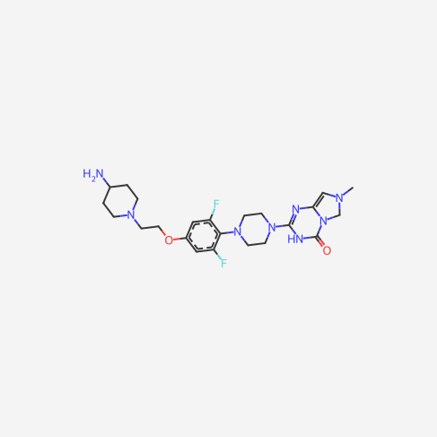 CN1C=C2N=C(N3CCN(c4c(F)cc(OCCN5CCC(N)CC5)cc4F)CC3)NC(=O)N2C1